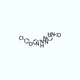 Cn1c(NCc2ccc(Oc3ccc(Cl)cc3)cn2)nc2ccc(NC3COC3)cc21